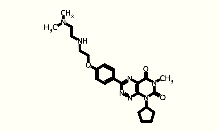 CN(C)CCNCCOc1ccc(-c2nnc3c(n2)c(=O)n(C)c(=O)n3C2CCCC2)cc1